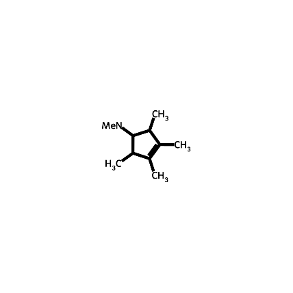 CNC1C(C)C(C)=C(C)C1C